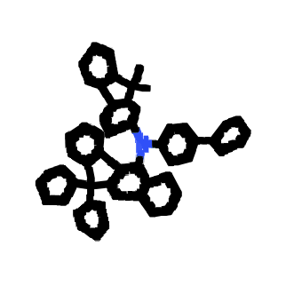 CC1(C)c2ccccc2-c2ccc(N(c3ccc(-c4ccccc4)cc3)c3c4c(cc5ccccc35)C(c3ccccc3)(c3ccccc3)c3ccccc3-4)cc21